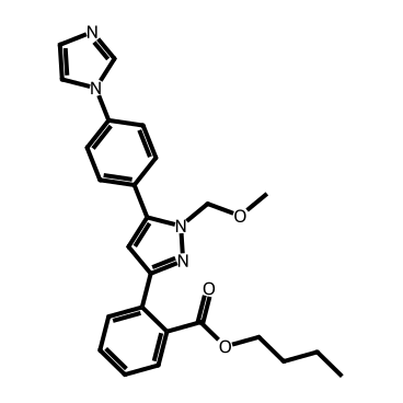 CCCCOC(=O)c1ccccc1-c1cc(-c2ccc(-n3ccnc3)cc2)n(COC)n1